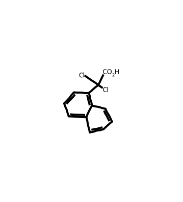 O=C(O)C(Cl)(Cl)c1[c]ccc2ccccc12